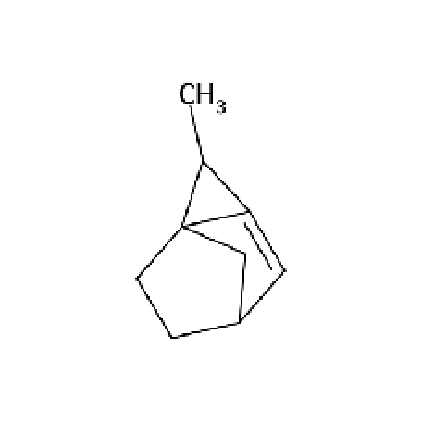 CC1C2=CC3CCC21C3